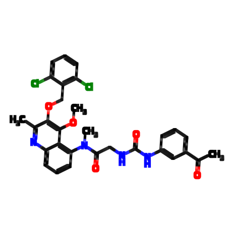 COc1c(OCc2c(Cl)cccc2Cl)c(C)nc2cccc(N(C)C(=O)CNC(=O)Nc3cccc(C(C)=O)c3)c12